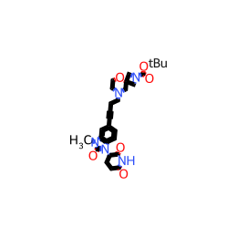 Cn1c(=O)n(C2CCC(=O)NC2=O)c2ccc(C#CCCN3CCOC4(C3)CN(C(=O)OC(C)(C)C)C4)cc21